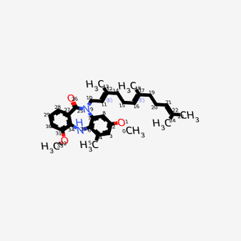 COc1cc(C)c2c(c1)N(C/C=C(\C)CC/C=C(\C)CCC=C(C)C)C(=O)c1cccc(OC)c1N2